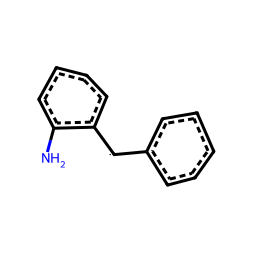 Nc1ccccc1[CH]c1ccccc1